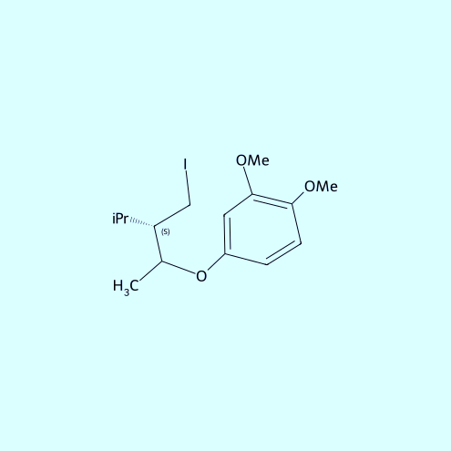 COc1ccc(OC(C)[C@@H](CI)C(C)C)cc1OC